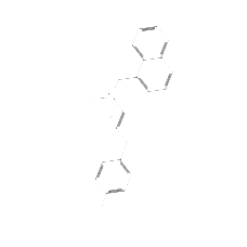 Cc1ccc(C/C=C/N(C)Cc2cccc3ccccc23)cc1